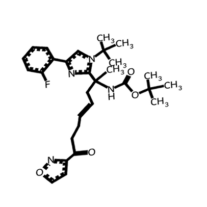 CC(C)(C)OC(=O)NC(C)(CC=CCCC(=O)c1ccon1)c1nc(-c2ccccc2F)cn1C(C)(C)C